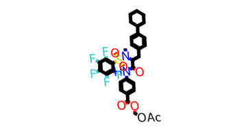 CC(=O)OCOC(=O)c1ccc(NC(=O)C(Cc2ccc(C3CCCCC3)cc2)N(C)S(=O)(=O)c2c(F)c(F)c(F)c(F)c2F)cc1